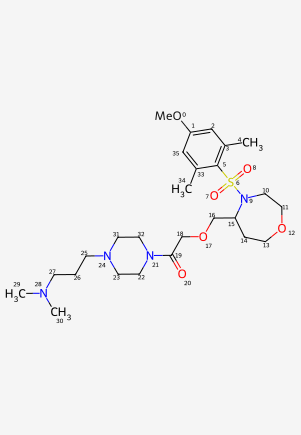 COc1cc(C)c(S(=O)(=O)N2CCOCCC2COCC(=O)N2CCN(CCCN(C)C)CC2)c(C)c1